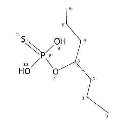 CCCC(CCC)OP(O)(O)=S